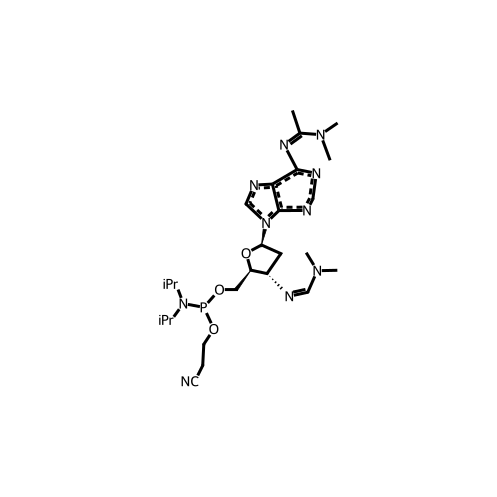 C/C(=N/c1ncnc2c1ncn2[C@H]1C[C@H](/N=C\N(C)C)[C@@H](COP(OCCC#N)N(C(C)C)C(C)C)O1)N(C)C